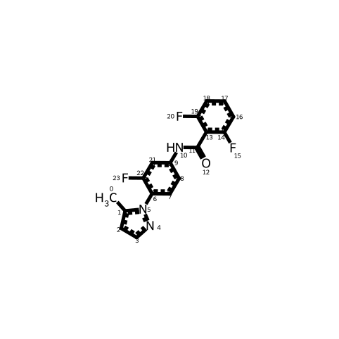 Cc1ccnn1-c1ccc(NC(=O)c2c(F)cccc2F)cc1F